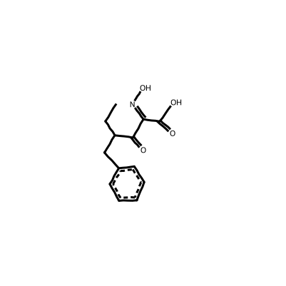 CCC(Cc1ccccc1)C(=O)C(=NO)C(=O)O